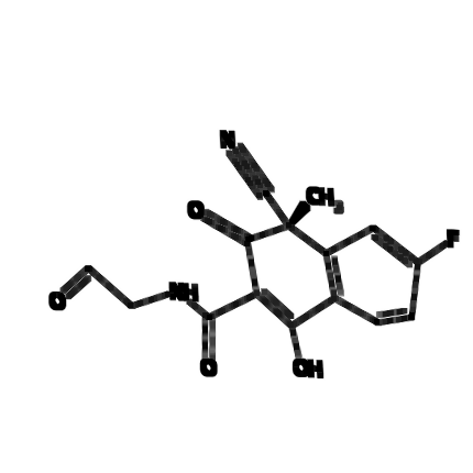 C[C@]1(C#N)C(=O)C(C(=O)NCC=O)=C(O)c2ccc(F)cc21